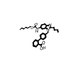 CCCCCCOC(=O)Nc1ccc2nc(CCCC)n(Cc3ccc(-c4ccccc4C(=O)O)cc3)c2c1